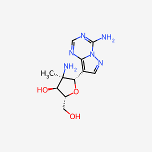 C[C@@]1(N)[C@H](O)[C@@H](CO)O[C@H]1c1cnn2c(N)ncnc12